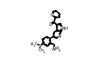 CN(C)c1ccc(-c2cnc3[nH]cc(C(=O)c4ccccn4)c3c2)c(CN)c1